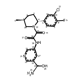 C[C@H]1CC[C@H](c2ccc(F)c(Cl)c2)N(C(=O)C(=O)Nc2cncc(C(N)O)c2)C1